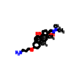 CN(C)/N=C/C1(O)CC[C@@]2(O)[C@@H]3CCC4CC(OCCCN)CC[C@]4(C)[C@@H]3CC[C@]12C